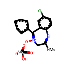 CNC1=Nc2ccc(Cl)cc2C(c2ccccc2)=[N+]([O-])C1.[O]=[Mn](=[O])(=[O])[OH]